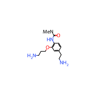 CNC(=O)Nc1ccc(CCN)cc1OCCCN